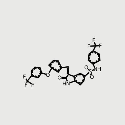 O=C1Nc2ccc(S(=O)(=O)Nc3ccc(C(F)(F)F)cc3)cc2C1=Cc1cccc(Oc2cccc(C(F)(F)F)c2)c1